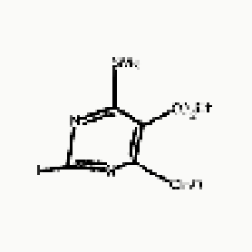 CCOC(=O)c1c(C=O)nc(I)nc1SC